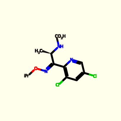 CC(C)ON=C(c1ncc(Cl)cc1Cl)[C@H](C)NC(=O)O